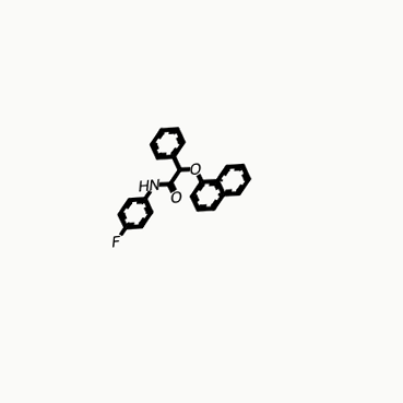 O=C(Nc1ccc(F)cc1)C(Oc1cccc2ccccc12)c1ccccc1